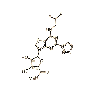 CNC(=O)[C@H]1OC(n2cnc3c(NCC(F)F)nc(-n4ccnn4)nc32)[C@H](O)[C@@H]1O